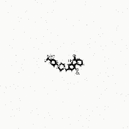 CCOc1cc(CN2CCN(c3ccc(C(=O)NC)nc3)CC2)cc2[nH]c(=O)c3c(c12)CCCC3